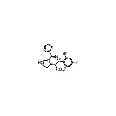 CCOC(=O)C1=C2CC3=NC3N2C(c2nccs2)=N[C@H]1c1ccc(F)cc1Br